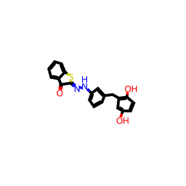 O=C1C(=NNc2cccc(Cc3cc(O)ccc3O)c2)Sc2ccccc21